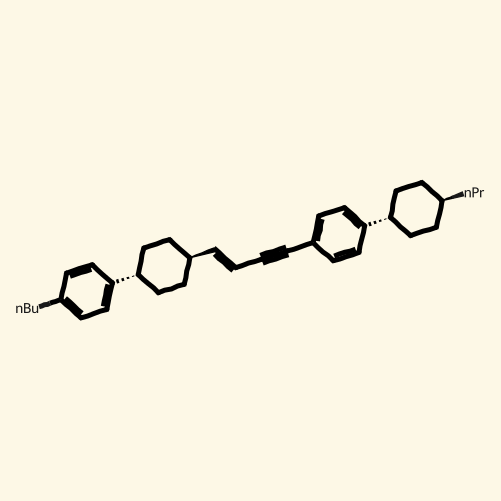 CCCCc1ccc([C@H]2CC[C@H](C=CC#Cc3ccc([C@H]4CC[C@H](CCC)CC4)cc3)CC2)cc1